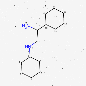 NC(CNC1CCCCC1)C1CCCCC1